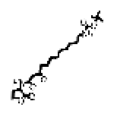 CC(C)(C)OC(=O)NCCCCCCCCCC(=O)CC(=O)NC1CCOC1=O